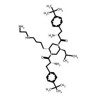 CC(C)C[C@H]1CN(C(=O)[C@H](N)Cc2ccc(C(C)(C)C)cc2)[C@H](CCCCNCCN)CN1C(=O)[C@H](N)Cc1ccc(C(C)(C)C)cc1